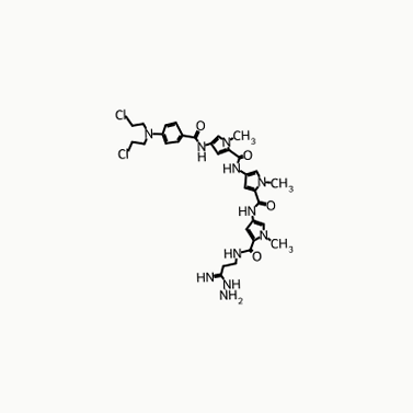 Cn1cc(NC(=O)c2cc(NC(=O)c3cc(NC(=O)c4ccc(N(CCCl)CCCl)cc4)cn3C)cn2C)cc1C(=O)NCCC(=N)NN